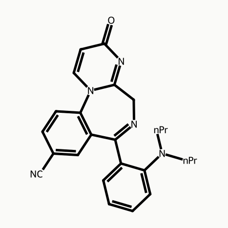 CCCN(CCC)c1ccccc1C1=NCc2nc(=O)ccn2-c2ccc(C#N)cc21